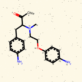 COC(=O)C(Cc1ccc(N)cc1)N(C)CCOc1ccc(N)cc1